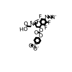 CN(CC(=O)O)C(=O)CC(OC(=O)Oc1ccc([N+](=O)[O-])cc1)c1c(F)c(F)c(N=[N+]=[N-])c(F)c1F